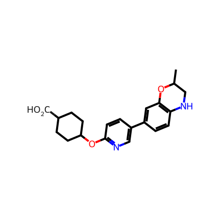 CC1CNc2ccc(-c3ccc(OC4CCC(C(=O)O)CC4)nc3)cc2O1